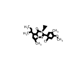 CCC(C)c1cc(C)n2nc(-c3cc(C)c(OC)cc3Cl)n(C3CC3)c(=O)c12